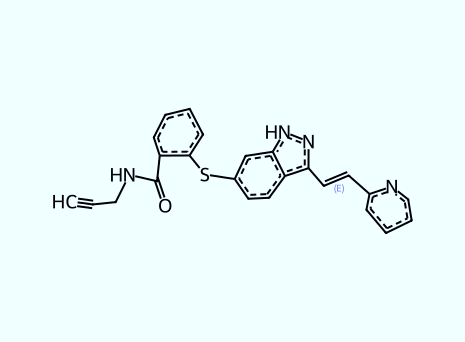 C#CCNC(=O)c1ccccc1Sc1ccc2c(/C=C/c3ccccn3)n[nH]c2c1